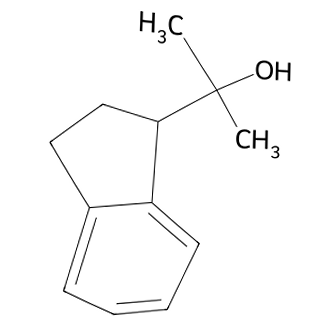 CC(C)(O)C1CCc2ccccc21